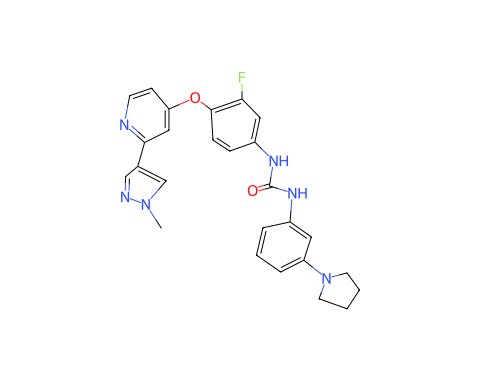 Cn1cc(-c2cc(Oc3ccc(NC(=O)Nc4cccc(N5CCCC5)c4)cc3F)ccn2)cn1